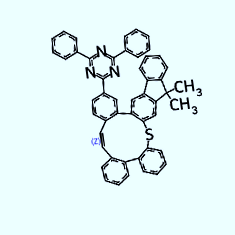 CC1(C)c2ccccc2-c2cc3c(cc21)Sc1ccccc1-c1ccccc1/C=C\c1ccc(-c2nc(-c4ccccc4)nc(-c4ccccc4)n2)cc1-3